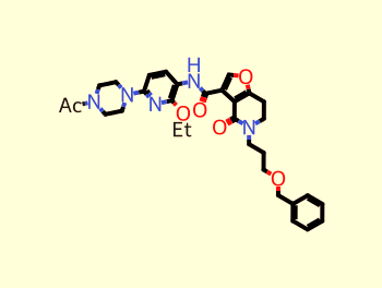 CCOc1nc(N2CCN(C(C)=O)CC2)ccc1NC(=O)c1coc2c1C(=O)N(CCCOCc1ccccc1)CC2